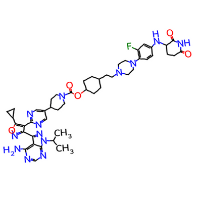 CC(C)n1nc(-c2noc(C3CC3)c2-c2ncc(C3CCN(C(=O)OC4CCC(CCN5CCN(c6ccc(NC7CCC(=O)NC7=O)cc6F)CC5)CC4)CC3)cn2)c2c(N)ncnc21